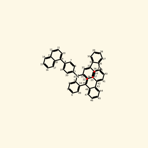 c1ccc(N(c2ccc(-c3cccc4ccccc34)cc2)c2ccc3oc4ccccc4c3c2)c(-c2cc3ccccc3c3ccccc23)c1